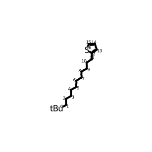 CC(C)(C)CCCCCCCCCCCc1cccs1